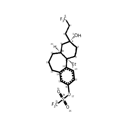 CC[C@@]12CC[C@](O)(CCC(F)(F)F)C[C@@H]1CCCc1cc(OS(=O)(=O)C(F)(F)F)ccc12